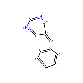 C1=NC=NCC1=Cc1ccccc1